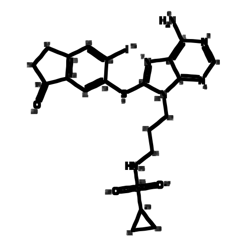 Nc1ncnc2c1nc(Sc1cc3c(cc1I)CCC3=O)n2CCCNS(=O)(=O)C1CC1